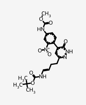 COC(=O)Nc1ccc(-c2cc(CCC=CNC(=O)OC(C)(C)C)n[nH]c2=O)c([N+](=O)[O-])c1